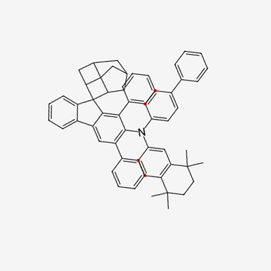 CC1(C)CCC(C)(C)c2cc(N(c3ccc(-c4ccccc4)cc3)c3c(-c4ccccc4)cc4c(c3-c3ccccc3)C3(c5ccccc5-4)C4CC5CC6CC3C64C5)ccc21